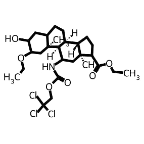 CCOC(=O)C1CC[C@H]2[C@@H]3CCC4CC(O)C(OCC)C[C@]4(C)[C@@H]3C(NC(=O)OCC(Cl)(Cl)Cl)C[C@]12C